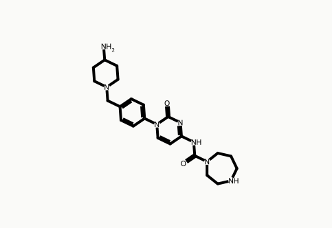 NC1CCN(Cc2ccc(-n3ccc(NC(=O)N4CCCNCC4)nc3=O)cc2)CC1